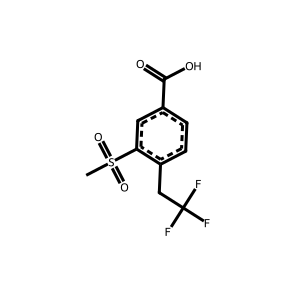 CS(=O)(=O)c1cc(C(=O)O)ccc1CC(F)(F)F